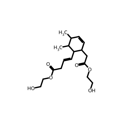 CC1C=CC(CC(=O)OCCO)C(C=CCC(=O)OCCO)C1C